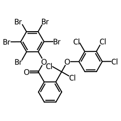 O=C(Oc1c(Br)c(Br)c(Br)c(Br)c1Br)c1ccccc1C(Cl)(Cl)Oc1ccc(Cl)c(Cl)c1Cl